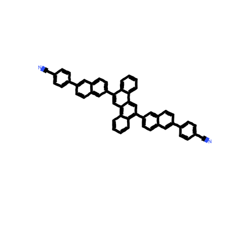 N#Cc1ccc(-c2ccc3cc(-c4cc5c6ccccc6c(-c6ccc7cc(-c8ccc(C#N)cc8)ccc7c6)cc5c5ccccc45)ccc3c2)cc1